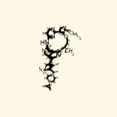 C[C@H]1CCOc2c(cnn2C)-c2nccc(n2)Nc2cc3c(cn2)c(-c2cc(CN4CCN(C5CC5)CC4)n(C)c2)nn31